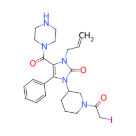 C=CCn1c(C(=O)N2CCNCC2)c(-c2ccccc2)n(C2CCCN(C(=O)CI)C2)c1=O